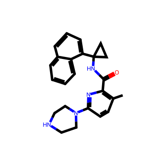 Cc1ccc(N2CCNCC2)nc1C(=O)NC1(c2cccc3ccccc23)CC1